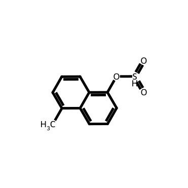 Cc1cccc2c(O[SH](=O)=O)cccc12